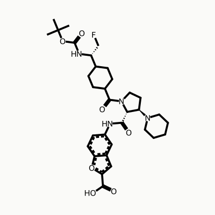 CC(C)(C)OC(=O)N[C@H](CF)C1CCC(C(=O)N2CC[C@@H](N3CCCCC3)[C@@H]2C(=O)Nc2ccc3oc(C(=O)O)cc3c2)CC1